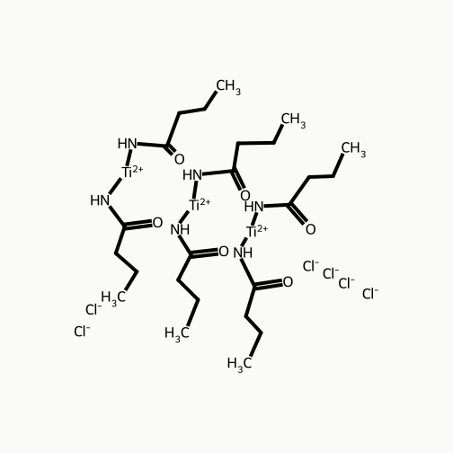 CCCC(=O)[NH][Ti+2][NH]C(=O)CCC.CCCC(=O)[NH][Ti+2][NH]C(=O)CCC.CCCC(=O)[NH][Ti+2][NH]C(=O)CCC.[Cl-].[Cl-].[Cl-].[Cl-].[Cl-].[Cl-]